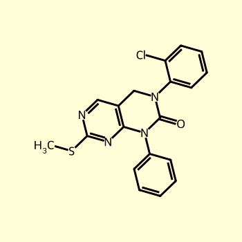 CSc1ncc2c(n1)N(c1ccccc1)C(=O)N(c1ccccc1Cl)C2